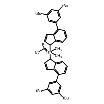 CC[C](CC)=[Hf]([CH3])([CH3])([CH]1C=Cc2c(-c3cc(C(C)(C)C)cc(C(C)(C)C)c3)cccc21)[CH]1C=Cc2c(-c3cc(C(C)(C)C)cc(C(C)(C)C)c3)cccc21